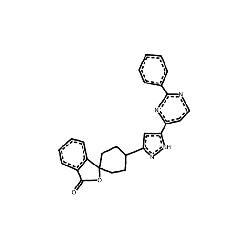 O=C1OC2(CCC(c3cc(-c4ccnc(-c5ccccc5)n4)[nH]n3)CC2)c2ccccc21